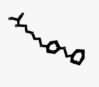 O=C(O)NCCOCCOc1ccc(OCc2ccccc2)cc1